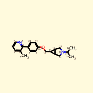 Cc1cccnc1-c1ccc(OCC2C3CN(C(C)C)CC23)cc1